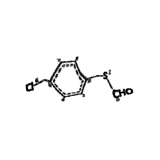 O=CSc1ccc(Cl)cc1